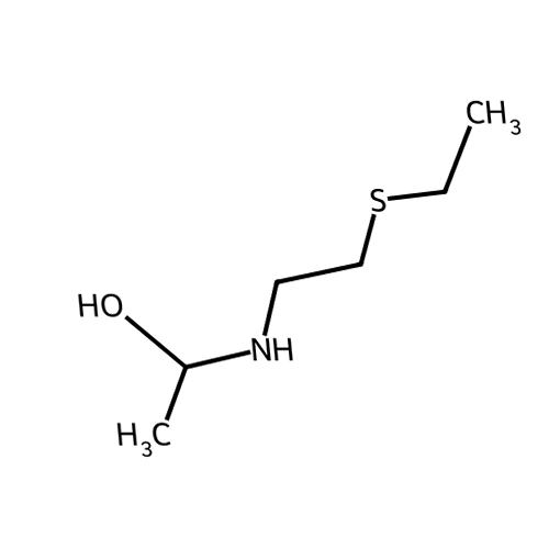 CCSCCNC(C)O